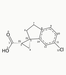 O=C(O)[C@H]1C[C@@]12CCc1ccc(Cl)cc12